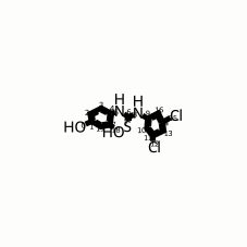 Oc1ccc(NC(=S)Nc2cc(Cl)cc(Cl)c2)c(O)c1